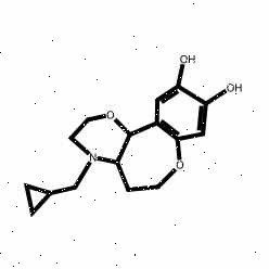 Oc1cc2c(cc1O)C1OCCN(CC3CC3)C1CCO2